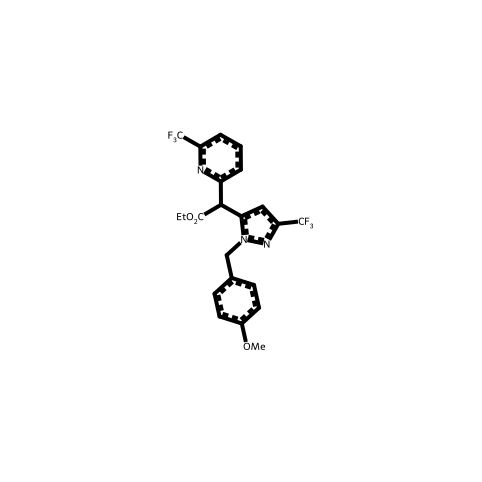 CCOC(=O)C(c1cccc(C(F)(F)F)n1)c1cc(C(F)(F)F)nn1Cc1ccc(OC)cc1